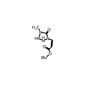 CN1NNN(/C=C\C(=O)OC(C)(C)C)C1=O